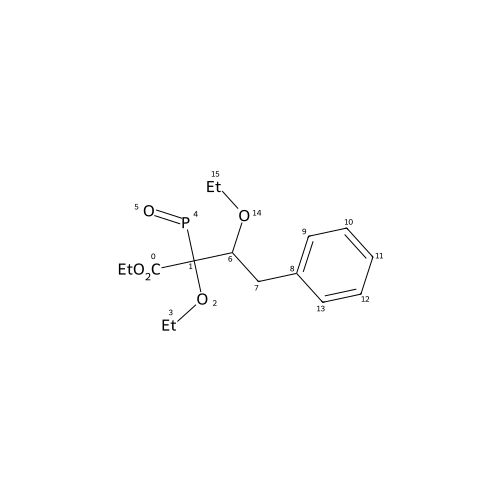 CCOC(=O)C(OCC)(P=O)C(Cc1ccccc1)OCC